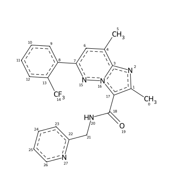 Cc1nc2c(C)cc(-c3ccccc3C(F)(F)F)nn2c1C(=O)NCc1ccccn1